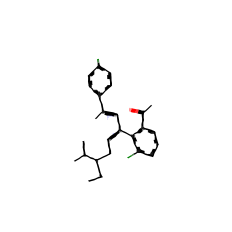 CCC(C/C=C(/C=C(\C)c1ccc(F)cc1)c1c(F)cccc1C(C)=O)C(C)C